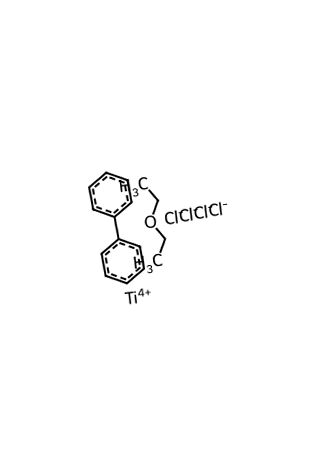 CCOCC.[Cl-].[Cl-].[Cl-].[Cl-].[Ti+4].c1ccc(-c2ccccc2)cc1